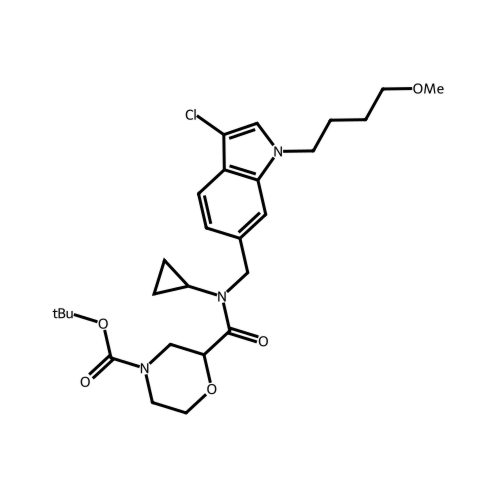 COCCCCn1cc(Cl)c2ccc(CN(C(=O)C3CN(C(=O)OC(C)(C)C)CCO3)C3CC3)cc21